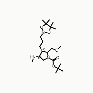 CN[C@H]1CN(C(=O)OC(C)(C)C)C(COC)[C@@H]1CCCB1OC(C)(C)C(C)(C)O1